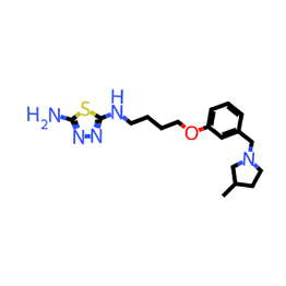 CC1CCN(Cc2cccc(OCCCCNc3nnc(N)s3)c2)C1